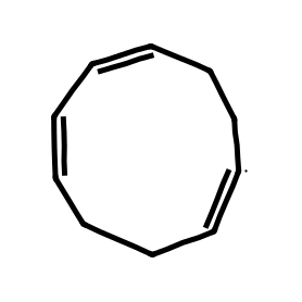 [C]1=CCCC=CC=CCC1